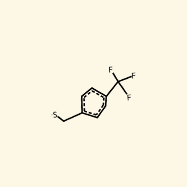 FC(F)(F)c1ccc(C[S])cc1